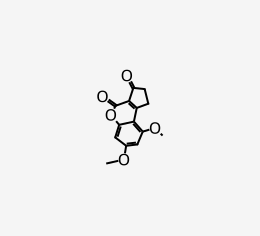 COc1cc(OC)c2c3c(c(=O)oc2c1)C(=O)CC3